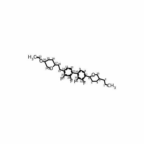 CCCC1CCC(c2ccc(-c3ccc(CCC4CCC(OCC)CO4)c(F)c3F)c(F)c2F)OC1